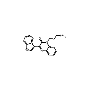 NCCCn1c(=O)c(C2=C[N]c3ccccc32)nc2ccccc21